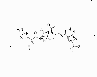 CON=C(C(=O)N[C@@H]1C(=O)N2C(C(=O)O)=C(CSc3cc(C)nc4nc(C(=O)OC)nn34)CS[C@H]12)c1csc(N)n1